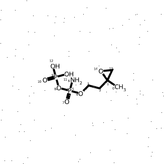 CC1(CCOP(N)(=O)OP(=O)(O)O)CO1